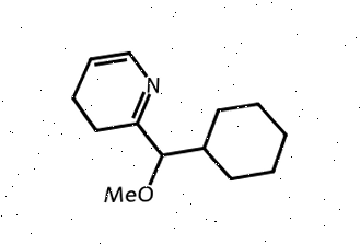 COC(C1=NC=CCC1)C1CCCCC1